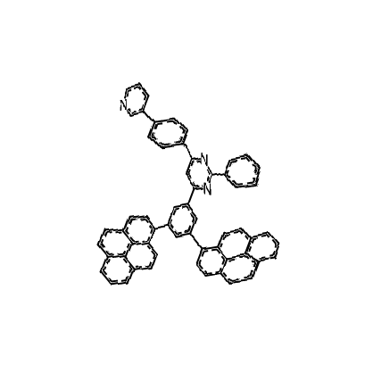 c1ccc(-c2nc(-c3ccc(-c4cccnc4)cc3)cc(-c3cc(-c4ccc5ccc6cccc7ccc4c5c67)cc(-c4ccc5ccc6cccc7ccc4c5c67)c3)n2)cc1